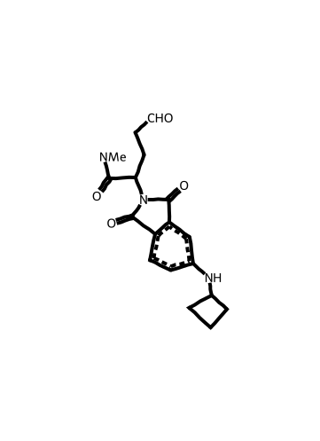 CNC(=O)C(CCC=O)N1C(=O)c2ccc(NC3CCC3)cc2C1=O